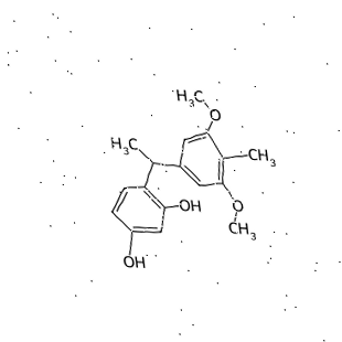 COc1cc(C(C)c2ccc(O)cc2O)cc(OC)c1C